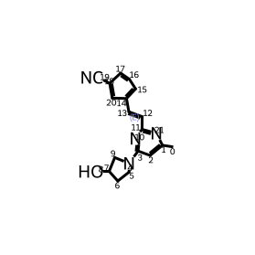 Cc1cc(N2CCC(O)C2)nc(/C=C/c2cccc(C#N)c2)n1